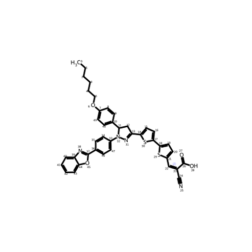 CCCCCCOc1ccc(C2CC(c3ccc(-c4ccc(/C=C(/C#N)C(=O)O)s4)s3)=NN2c2ccc(-c3nc4ccccc4o3)cc2)cc1